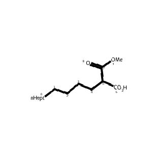 CCCCCCCCCCCC(C(=O)O)C(=O)OC